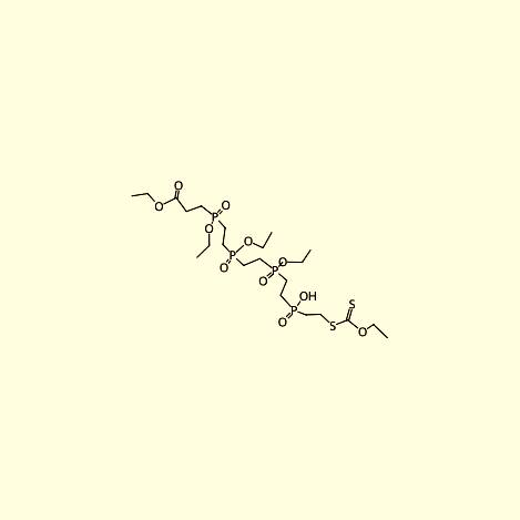 CCOC(=O)CCP(=O)(CCP(=O)(CCP(=O)(CCP(=O)(O)CCSC(=S)OCC)OCC)OCC)OCC